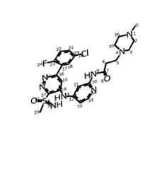 CN1CCN(CCC(=O)Nc2cc(Nc3cc(-c4cc(Cl)ccc4F)nnc3S(C)(=N)=O)ccn2)CC1